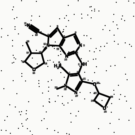 Bc1c(Nc2ncc3cc(C#N)n([C@H]4COCC4C)c3n2)c(OC2COC2)nn1C